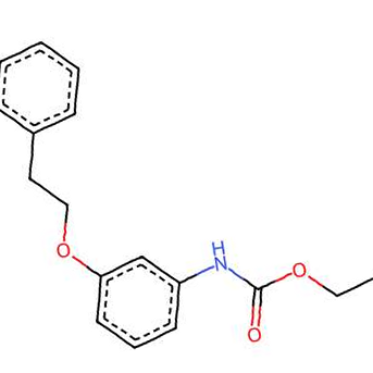 CCOC(=O)Nc1cccc(OCCc2ccccc2)c1